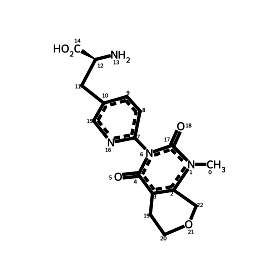 Cn1c2c(c(=O)n(-c3ccc(C[C@H](N)C(=O)O)cn3)c1=O)CCOC2